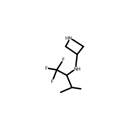 CC(C)C(NC1CNC1)C(F)(F)F